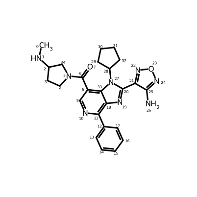 CNC1CCN(C(=O)c2cnc(-c3ccccc3)c3nc(-c4nonc4N)n(C4CCCC4)c23)C1